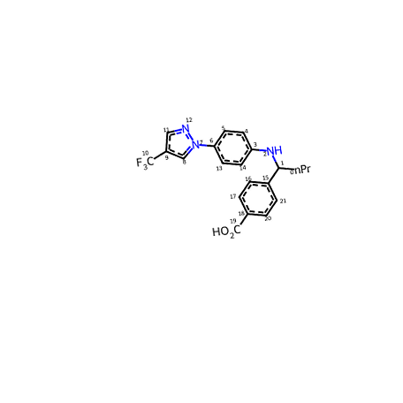 CCCC(Nc1ccc(-n2cc(C(F)(F)F)cn2)cc1)c1ccc(C(=O)O)cc1